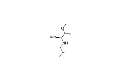 C#C[C@H](NCC(C)C)[C@H](C)OC